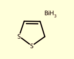 C1=CSSC1.[BiH3]